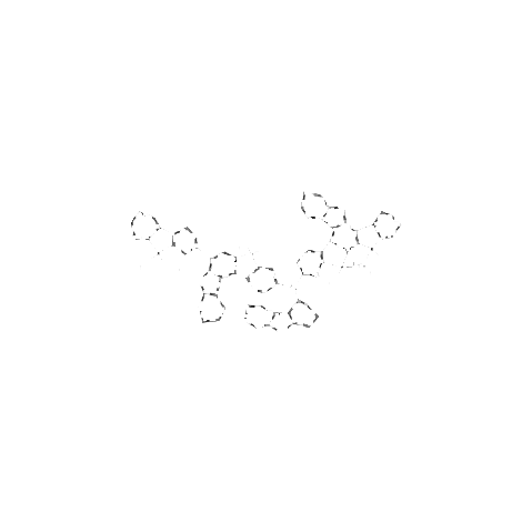 CC1(C)c2ccccc2-c2ccc(-c3cc4c(c5c3oc3ccccc35)-c3ccc(N(c5ccc6c(c5)C(C)(C)c5c7c(c8oc9ccccc9c8c5-6)-c5ccccc5C7(C)C)c5cccc6oc7ccccc7c56)cc3C4(C)C)cc21